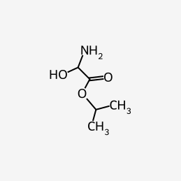 CC(C)OC(=O)C(N)O